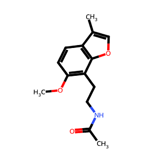 COc1ccc2c(C)coc2c1CCNC(C)=O